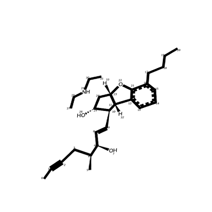 CC#CC[C@H](C)[C@H](O)C=C[C@@H]1[C@H]2c3cccc(CCCC)c3O[C@H]2C[C@H]1O.CCNCC